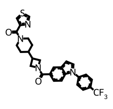 O=C(c1ccc2c(ccn2-c2ccc(C(F)(F)F)cc2)c1)N1CC(C2CCN(C(=O)c3cscn3)CC2)C1